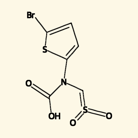 O=C(O)N(C=S(=O)=O)c1ccc(Br)s1